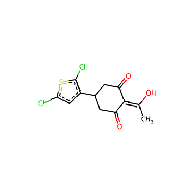 CC(O)=C1C(=O)CC(c2cc(Cl)sc2Cl)CC1=O